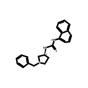 S=C(Nc1cccc2ccccc12)N[C@H]1CCN(Cc2ccccc2)C1